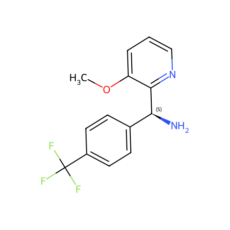 COc1cccnc1[C@@H](N)c1ccc(C(F)(F)F)cc1